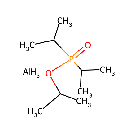 CC(C)OP(=O)(C(C)C)C(C)C.[AlH3]